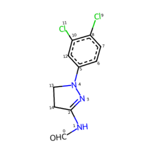 O=CNC1=NN(c2ccc(Cl)c(Cl)c2)CC1